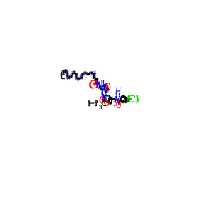 CC/C=C\C/C=C\C/C=C\C/C=C\C/C=C\C/C=C\CCC(=O)NCC(CNC(=O)C(C)(C)Oc1ccc(CCNC(=O)c2ccc(Cl)cc2)cc1)N1CCOCC1